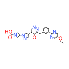 CCOc1cnc(-c2cccc(CC3=NN=CC(c4cnn(C5CN(C(=O)O)C5)c4)C3=O)c2)nc1